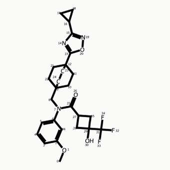 COc1cccc(N(CC23CCC(c4nc(C5CC5)no4)(CC2)CC3)C(=O)C2CC(O)(C(F)(F)F)C2)c1